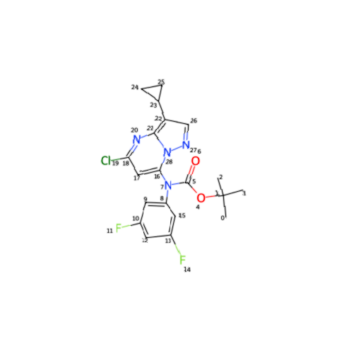 CC(C)(C)OC(=O)N(c1cc(F)cc(F)c1)c1cc(Cl)nc2c(C3CC3)cnn12